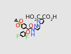 O=C(O)c1ccc(-n2ccc(NC(=O)C(Oc3ccc(F)cc3F)c3ccc(S(=O)(=O)C4CC4)cc3)n2)nc1C(=O)O